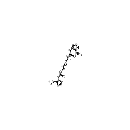 Nc1nccn1CC(=O)OCCOCCOC(=O)Cn1ccnc1N